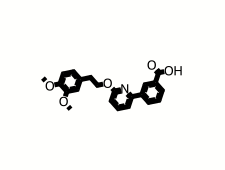 COc1ccc(CCOc2cccc(-c3cccc(C(=O)O)c3)n2)cc1OC